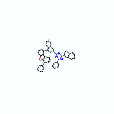 c1ccc(-c2cccc3c2oc2cccc(-c4cc(C5=NC(c6ccccc6)NC(c6ccc7ccccc7c6)=N5)cc5ccccc45)c23)cc1